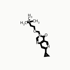 C[Si](C)(C)CCOCn1cnc2cc(C3CC3)ncc2c1=O